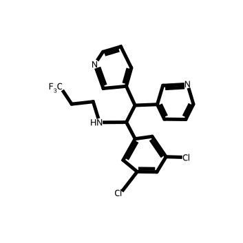 FC(F)(F)CCNC(c1cc(Cl)cc(Cl)c1)C(c1cccnc1)c1cccnc1